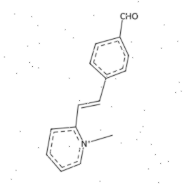 C[n+]1ccccc1/C=C/c1ccc(C=O)cc1